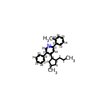 CCCC1CC(C)CC1c1cc(-c2ccccc2C)ncc1-c1ccccc1